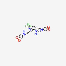 CS(=O)(=O)c1ccc(NCC#Cc2cc3c(NC4CCN(C5CCS(=O)(=O)CC5)CC4)cccc3n2CC(F)(F)F)cc1